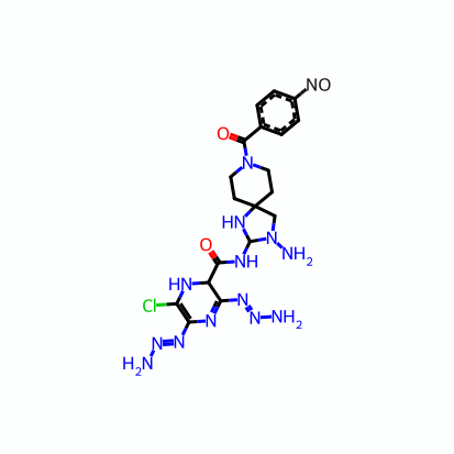 NN=NC1=NC(N=NN)=C(Cl)NC1C(=O)NC1NC2(CCN(C(=O)c3ccc(N=O)cc3)CC2)CN1N